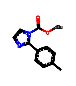 Cc1ccc(-c2nccn2C(=O)OC(C)(C)C)cc1